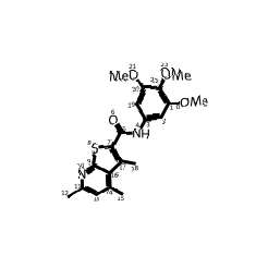 COc1cc(NC(=O)c2sc3nc(C)cc(C)c3c2C)cc(OC)c1OC